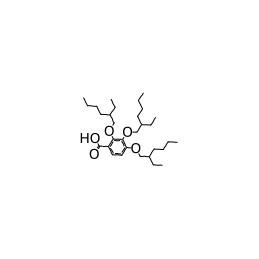 CCCCC(CC)COc1ccc(C(=O)O)c(OCC(CC)CCCC)c1OCC(CC)CCCC